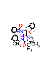 Cc1ccccc1CNC(=O)[C@H]1N(C(=O)[C@@H](O)[C@H](Cc2ccccc2)NC(=O)c2ccccc2)CSC1(C)C